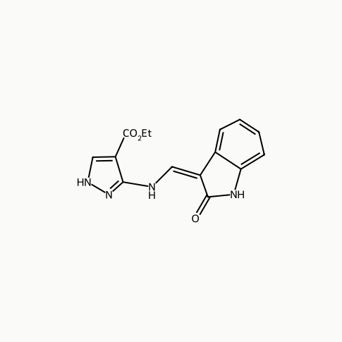 CCOC(=O)c1c[nH]nc1NC=C1C(=O)Nc2ccccc21